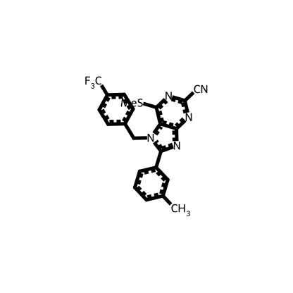 CSc1nc(C#N)nc2nc(-c3cccc(C)c3)n(Cc3ccc(C(F)(F)F)cc3)c12